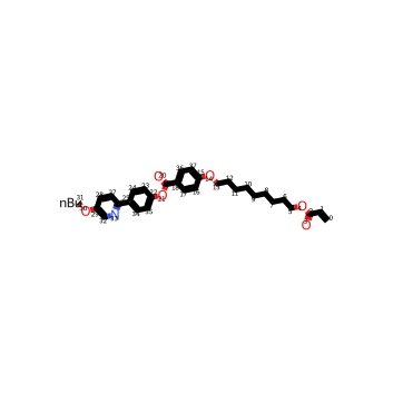 C=CC(=O)OCCCCCCCCCOc1ccc(C(=O)Oc2ccc(-c3ccc(OCCCC)cn3)cc2)cc1